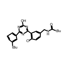 CC(C)(C)C(=O)NCc1ccc(Cl)c(-c2nc(O)nc(-c3cccc(C(C)(C)C)c3)n2)c1